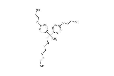 CC(COCCOCCO)(c1ccc(OCCO)cc1)c1ccc(OCCO)cc1